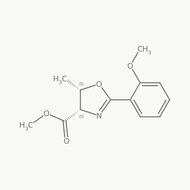 COC(=O)[C@H]1N=C(c2ccccc2OC)O[C@H]1C